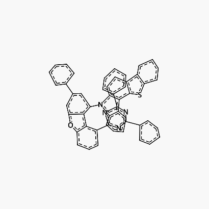 c1ccc(-c2cc(-n3c4ccccc4c4c5sc6ccccc6c5ccc43)c3c(c2)oc2cccc(-c4nc(-c5ccccc5)nc(-c5ccccc5)n4)c23)cc1